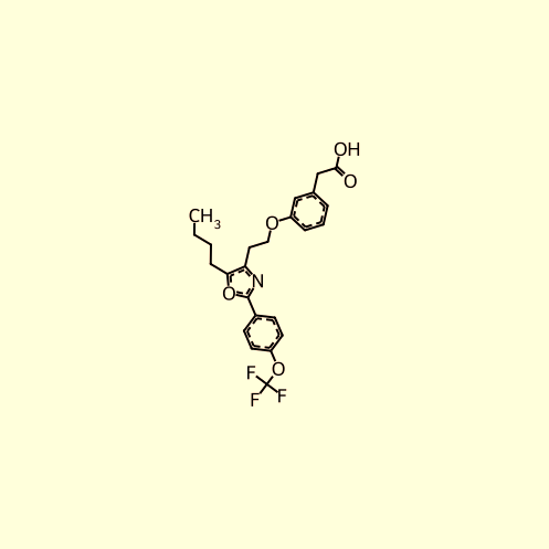 CCCCc1oc(-c2ccc(OC(F)(F)F)cc2)nc1CCOc1cccc(CC(=O)O)c1